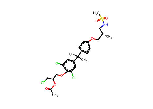 CC(=O)O[C@@H](CCl)COc1c(Cl)cc(C(C)(C)c2ccc(OC[C@@H](C)CNS(C)(=O)=O)cc2)cc1Cl